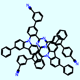 N#Cc1ccc(-c2cccc(-c3nc(-c4cc(-c5cccc(C#N)c5)ccc4-n4c5ccc(-c6ccccc6)cc5c5cc(-c6ccccc6)ccc54)nc(-c4cc(-c5cccc(C#N)c5)ccc4-n4c5ccc(-c6ccccc6)cc5c5cc(-c6ccccc6)ccc54)n3)c2)cc1